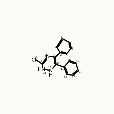 ClC1=NC(c2ccccc2)=C(c2ccccc2)NN1